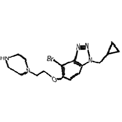 Brc1c(OCCN2CCNCC2)ccc2c1nnn2CC1CC1